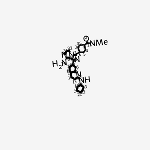 CNC(=O)C1CCC(c2nc(-c3ccc4ccc(Nc5ccccc5)nc4c3)c3c(N)nccn23)CC1